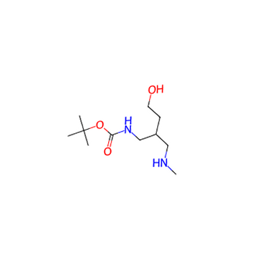 CNCC(CCO)CNC(=O)OC(C)(C)C